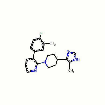 Cc1cc(-c2cccnc2N2CCC(c3nc[nH]c3C)CC2)ccc1F